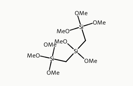 CO[Si](C[Si](OC)(OC)OC)(C[Si](OC)(OC)OC)OC